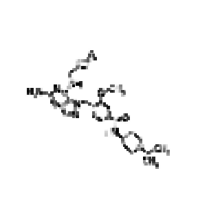 COc1cc(C(=O)NC2CCN(C(C)C)CC2)ccc1Cn1ncc2nc(N)nc(NCC3CC4(CC4)C3)c21